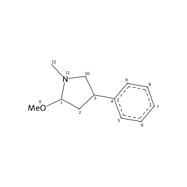 COC1CC(c2ccccc2)CN1C